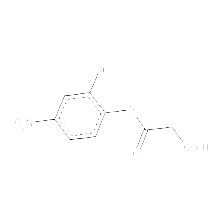 O=C(O)CC(=O)Oc1ccc([N+](=O)[O-])cc1Br